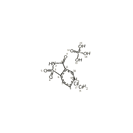 O=C1NS(=O)(=O)c2ccccc21.O=P(O)(O)O.[CaH2].[CaH2]